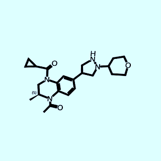 CC(=O)N1c2ccc(C3CNN(C4CCOCC4)C3)cc2N(C(=O)C2CC2)C[C@@H]1C